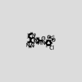 CS(=O)(=O)c1cc(Cl)cc(NC(=O)c2cnn(-c3ncccc3-c3cncnc3)c2)c1